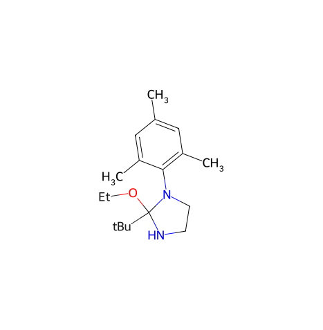 CCOC1(C(C)(C)C)NCCN1c1c(C)cc(C)cc1C